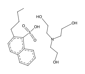 CCCCc1ccc2ccccc2c1S(=O)(=O)O.OCCN(CCO)CCO